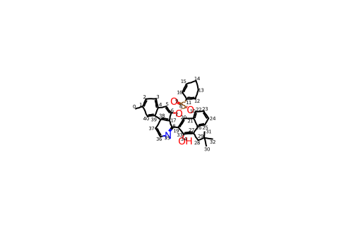 Cc1ccc2cc(OS(=O)(=O)C3=CCCC=C3)c3c(-c4cc5ccccc5c(CC(C)(C)C)c4O)nccc3c2c1